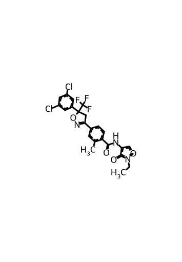 CCn1occ(NC(=O)c2ccc(C3=NOC(c4cc(Cl)cc(Cl)c4)(C(F)(F)F)C3)cc2C)c1=O